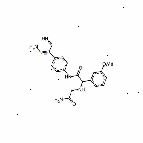 COc1cccc(C(NCC(N)=O)C(=O)Nc2ccc(/C(C=N)=C/N)cc2)c1